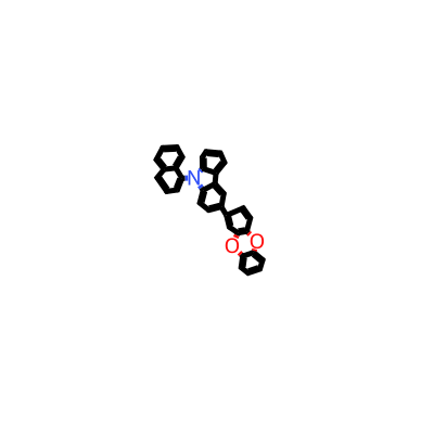 c1ccc2c(c1)Oc1ccc(-c3ccc4c(c3)c3ccccc3n4-c3cccc4ccccc34)cc1O2